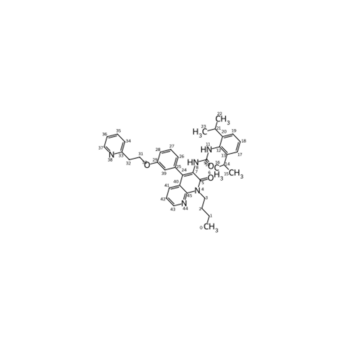 CCCCn1c(=O)c(NC(=O)Nc2c(C(C)C)cccc2C(C)C)c(-c2cccc(OCCc3ccccn3)c2)c2cccnc21